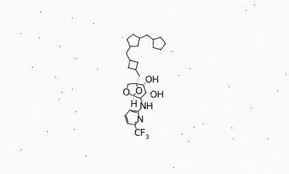 O[C@@H]1[C@@H](Nc2cccc(C(F)(F)F)n2)[C@H]2OC[C@](CC3CC(CC4CCC(CC5CCCC5)C4)C3)(O2)[C@@H]1O